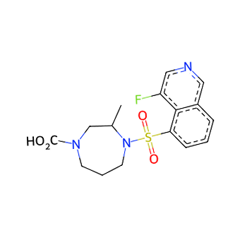 CC1CN(C(=O)O)CCCN1S(=O)(=O)c1cccc2cncc(F)c12